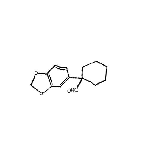 O=CC1(c2ccc3c(c2)OCO3)CCCCC1